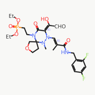 CCOP(=O)(CCN1C(=O)/C(=C(\O)C=O)N(/C=C(\C)C(=O)NCc2ccc(F)cc2F)N(C)C12CCOC2)OCC